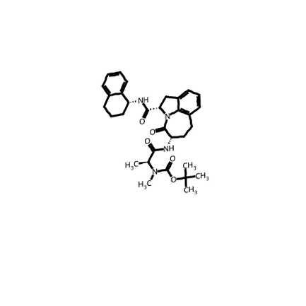 C[C@@H](C(=O)N[C@H]1CCc2cccc3c2N(C1=O)[C@H](C(=O)N[C@@H]1CCCc2ccccc21)C3)N(C)C(=O)OC(C)(C)C